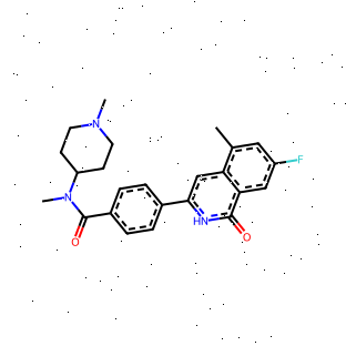 Cc1cc(F)cc2c(=O)[nH]c(-c3ccc(C(=O)N(C)C4CCN(C)CC4)cc3)cc12